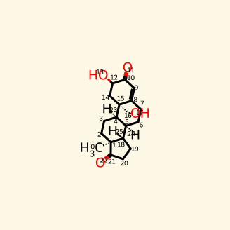 C[C@]12CC[C@@H]3[C@@H](CCC4=CC(=O)C(O)C[C@@]43CO)[C@@H]1CCC2=O